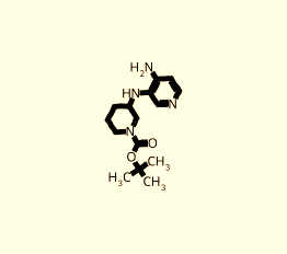 CC(C)(C)OC(=O)N1CCCC(Nc2cnccc2N)C1